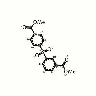 COC(=O)c1ccc(S(=O)(=O)c2cccc(C(=O)OC)c2)cc1